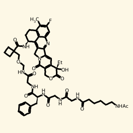 CC[C@@]1(O)C(=O)OCc2c1cc1n(c2=O)Cc2c-1nc1cc(F)c(C)c3c1c2[C@@H](NC(=O)C1(COCNC(=O)CNC(=O)[C@H](Cc2ccccc2)NC(=O)CNC(=O)CNC(=O)CCCCCNC(C)=O)CCC1)CC3